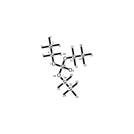 C[Si](C)(C)[Si](C)(C)O[Si]([O])(O[Si](C)(C)[Si](C)(C)C)O[Si](C)(C)[Si](C)(C)C